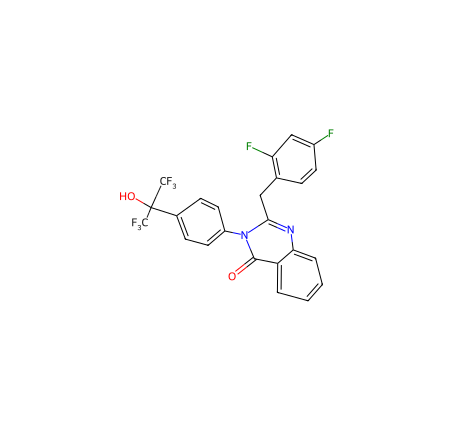 O=c1c2ccccc2nc(Cc2ccc(F)cc2F)n1-c1ccc(C(O)(C(F)(F)F)C(F)(F)F)cc1